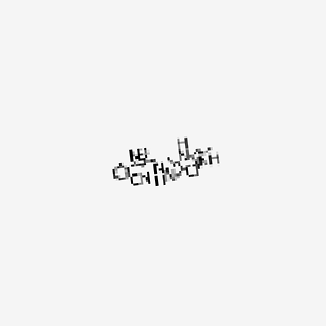 Cc1cc(Nc2nc(NCc3cc(-c4ccccc4C#N)no3)ncc2Cl)n[nH]1